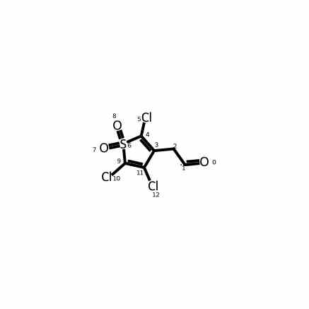 O=[C]CC1=C(Cl)S(=O)(=O)C(Cl)=C1Cl